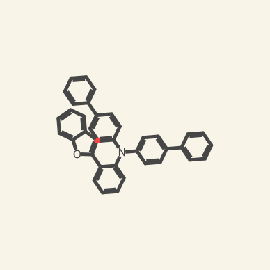 c1ccc(-c2ccc(N(c3ccc(-c4ccccc4)cc3)c3ccccc3-c3cc4ccccc4o3)cc2)cc1